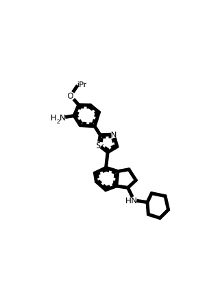 CC(C)Oc1ccc(-c2ncc(-c3cccc4c3CCC4NC3CCCCC3)s2)cc1N